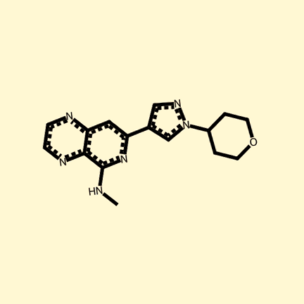 CNc1nc(-c2cnn(C3CCOCC3)c2)cc2nccnc12